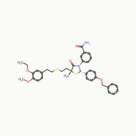 CCOc1cc(CCSCC[C@@]2(C)S[C@@H](c3ccc(OCc4ccccc4)cc3)N(c3cccc(C(N)=O)c3)C2=O)ccc1OC